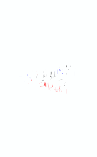 CONC(C)c1ccc(O)c2c1C[C@H]1C[C@@]3(C)CC(O)=C(C(N)=O)C(O)[C@@]3(O)C(O)C1C2O